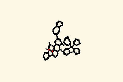 Cc1cccc(C)c1-c1cc(-c2ccc3ccccc3c2)cc(C)c1N(c1ccc2c(c1)C(C)(C)c1ccccc1-2)c1ccc2c(c1)C(c1ccccc1)(c1ccccc1)c1ccccc1-2